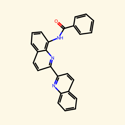 O=C(Nc1cccc2ccc(-c3ccc4ccccc4n3)nc12)c1ccccc1